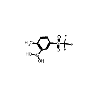 Cc1ccc(S(=O)(=O)C(F)(F)F)cc1B(O)O